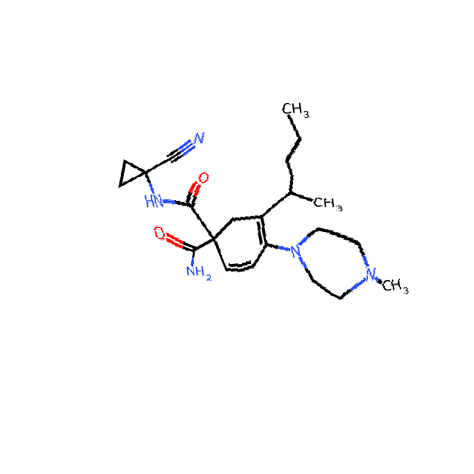 CCCC(C)C1=C(N2CCN(C)CC2)C=CC(C(N)=O)(C(=O)NC2(C#N)CC2)C1